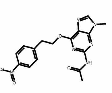 CC(=O)Nc1nc(OCCc2ccc([N+](=O)[O-])cc2)c2ncn(C)c2n1